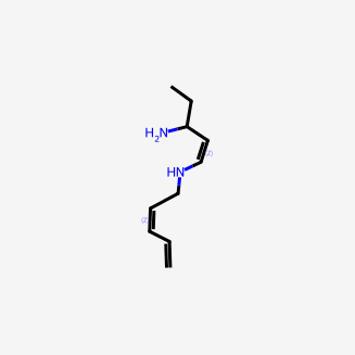 C=C/C=C\CN/C=C\C(N)CC